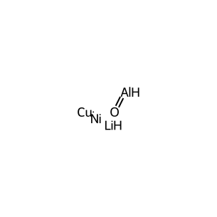 [Cu].[LiH].[Ni].[O]=[AlH]